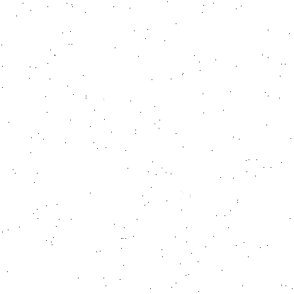 CC(C)(C)n1cnc(SCl)c1